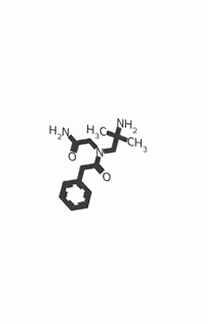 CC(C)(N)CN(CC(N)=O)C(=O)Cc1ccccc1